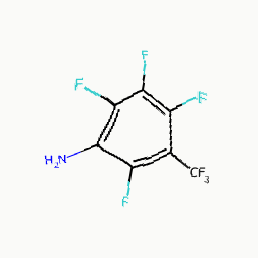 Nc1c(F)c(F)c(F)c(C(F)(F)F)c1F